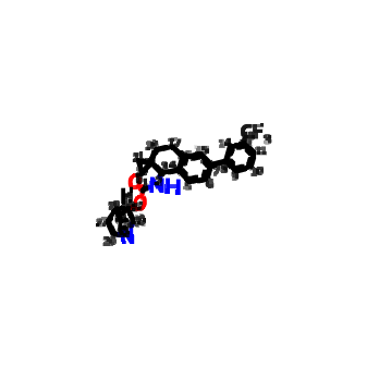 O=C(NC1c2ccc(-c3cccc(C(F)(F)F)c3)cc2CCC12CC2)O[C@H]1CN2CCC1CC2